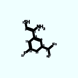 N/C(=C\S)C1=CC(C(F)F)CC(F)=C1